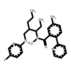 CCCC(COc1ccc(F)cn1)C(CC)N(C)C(=O)c1cc(C)ccc1-c1ccccn1